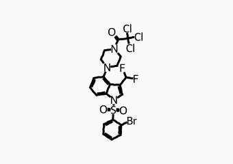 O=C(N1CCN(c2cccc3c2c(C(F)F)cn3S(=O)(=O)c2ccccc2Br)CC1)C(Cl)(Cl)Cl